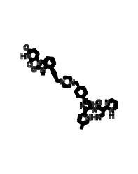 Cc1ccc(-c2nn([C@H]3CC[C@H](CN4CCN(CC#Cc5cccc6c5n(C)c(=O)n6C5CCC(=O)NC5=O)CC4)CC3)cc2NC(=O)/C(C=N)=C2\N=CC=CN2)nc1